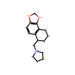 c1cc2c(c3c1OCO3)CCCC2CN1CCCC1